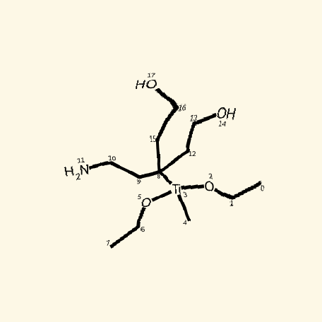 CC[O][Ti]([CH3])([O]CC)[C](CCN)(CCO)CCO